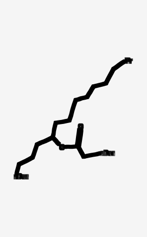 CCCCCCCCCCCCCC(CCCCCCCC(C)C)OC(=O)CCCCCCCCCCC